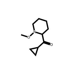 CON1CCCCC1C(=O)C1CC1